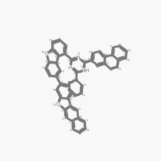 C1=CCC(C2=NC(c3cccc4c3C3C=C(c5ccc6c(c5)oc5cc7ccccc7cc56)C=CC3O4)=NC(c3ccc4c(c3)CCc3ccccc3-4)N2)C=C1